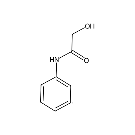 O=C(CO)Nc1c[c]ccc1